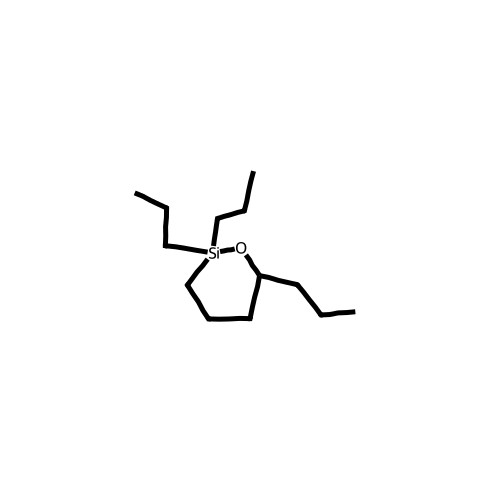 CCCC1CCC[Si](CCC)(CCC)O1